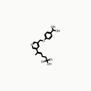 CCC(O)(CC)CCC=C(C)c1cncc(COc2ccc(C(O)O)cc2)c1